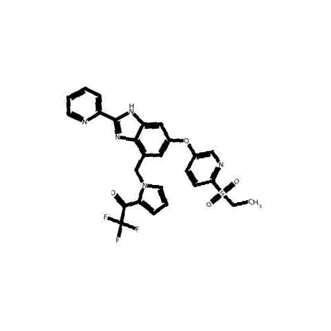 CCS(=O)(=O)c1ccc(Oc2cc(Cn3cccc3C(=O)C(F)(F)F)c3nc(-c4ccccn4)[nH]c3c2)cn1